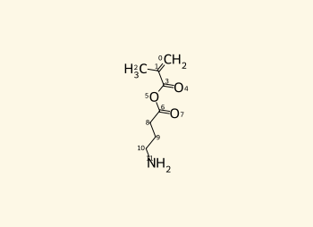 C=C(C)C(=O)OC(=O)CCCN